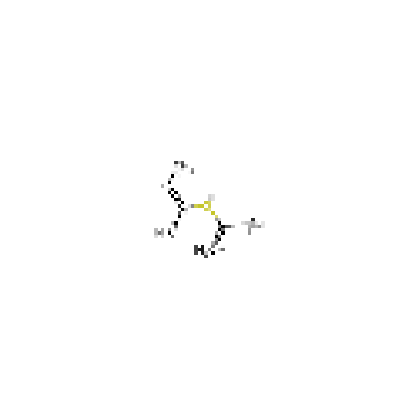 C=C(S/C(C)=C\C)C(C)(C)C